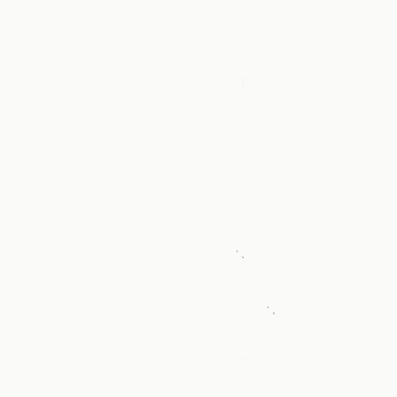 CS(=O)(=O)c1ccc(-n2c(-c3ccccc3)cc(=O)[nH]c2=O)cc1